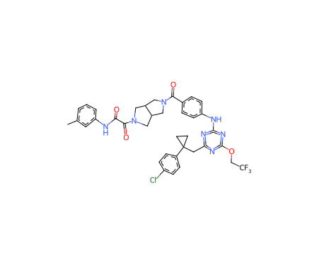 Cc1cccc(NC(=O)C(=O)N2CC3CN(C(=O)c4ccc(Nc5nc(CC6(c7ccc(Cl)cc7)CC6)nc(OCC(F)(F)F)n5)cc4)CC3C2)c1